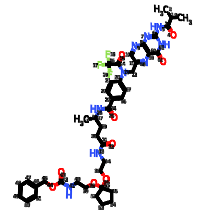 CC(C)C(=O)Nc1nc2ncc(CN(C(=O)C(F)(F)F)c3ccc(C(=O)N[C@H](C)CCC(=O)NCCOC4(OCCNC(=O)OCc5ccccc5)CCCC4)cc3)nc2c(=O)[nH]1